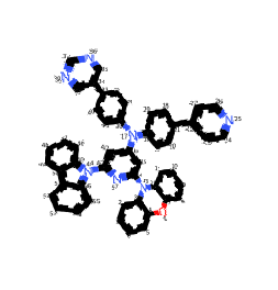 c1ccc2c(c1)Oc1ccccc1N2c1cc(N(c2ccc(-c3ccncc3)cc2)c2ccc(-c3cncnc3)cc2)cc(-n2c3ccccc3c3ccccc32)n1